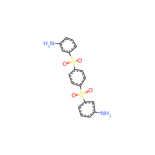 Nc1cccc(S(=O)(=O)c2ccc(S(=O)(=O)c3cccc(N)c3)cc2)c1